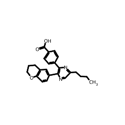 CCCCc1cnc(-c2ccc3c(c2)CCCO3)c(-c2ccc(C(=O)O)cc2)n1